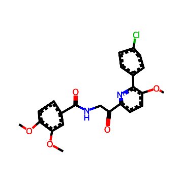 COc1ccc(C(=O)NCC(=O)c2ccc(OC)c(-c3ccc(Cl)cc3)n2)cc1OC